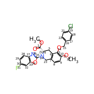 COC(=O)[C@@H]1Cc2c(ccc(OC)c2OCc2ccc(Cl)cc2)CN1c1nc2ccc(F)cc2o1